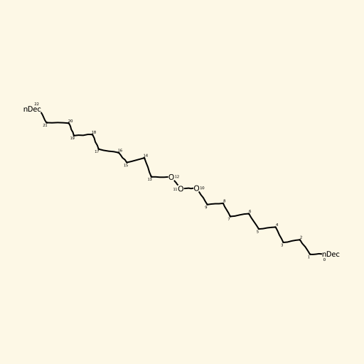 CCCCCCCCCCCCCCCCCCCOOOCCCCCCCCCCCCCCCCCCC